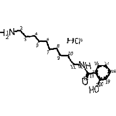 Cl.NCCCCCCCCCCNC(=O)c1ccccc1O